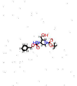 CC(C)(C)OC(=O)N1CCC(NC(=O)OCc2ccccc2)C(CO)C1